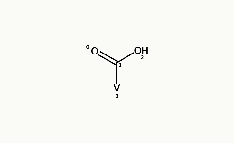 O=[C](O)[V]